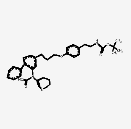 CC(C)(C)OC(=O)NCCc1ccc(OCCCc2ccc(-c3ccccc3)c(N(C(=O)O)C3CN4CCC3CC4)c2)cc1